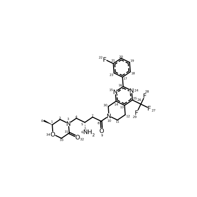 C[C@H]1CN(C[C@@H](N)CC(=O)N2CCc3c(nc(-c4cccc(F)c4)nc3C(F)(F)F)C2)C(=O)CO1